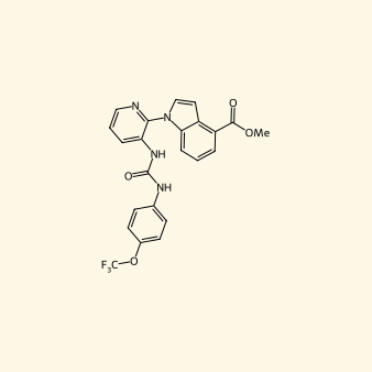 COC(=O)c1cccc2c1ccn2-c1ncccc1NC(=O)Nc1ccc(OC(F)(F)F)cc1